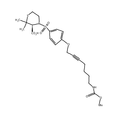 CC(C)(C)OC(=O)NCCCCC#CCOc1ccc(S(=O)(=O)N2CCSC(C)(C)[C@@H]2C(=O)O)cc1